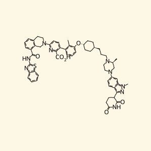 Cc1c(O[C@H]2CC[C@H](CCCN3CCN(c4ccc5c(C6CCC(=O)NC6=O)nn(C)c5c4)C[C@@H]3C)CC2)cccc1-c1ccc(N2CCc3cccc(C(=O)Nc4nc5ccccc5s4)c3C2)nc1C(=O)O